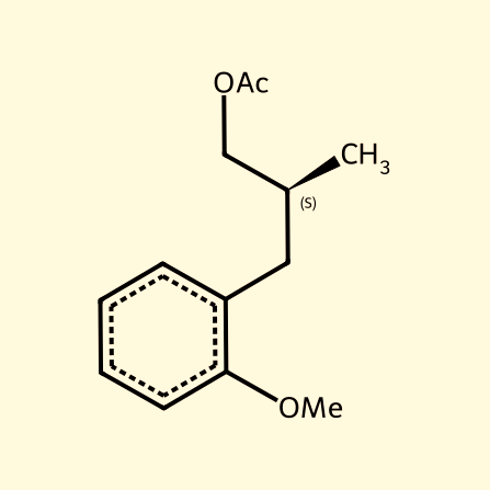 COc1ccccc1C[C@H](C)COC(C)=O